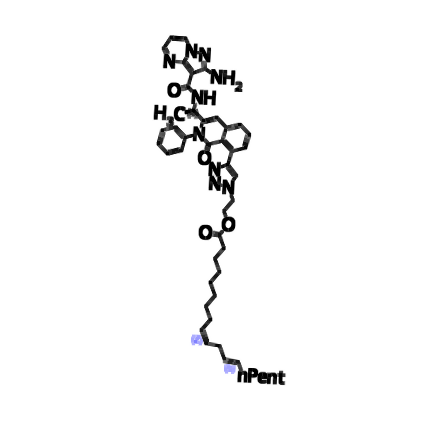 CCCCC/C=C/C/C=C\CCCCCCCC(=O)OCCn1cc(-c2cccc3cc([C@@H](C)NC(=O)c4c(N)nn5cccnc45)n(-c4ccccc4)c(=O)c23)nn1